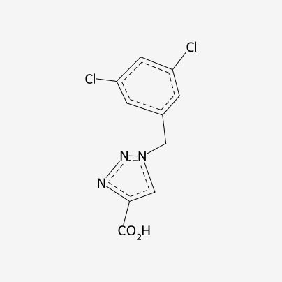 O=C(O)c1cn(Cc2cc(Cl)cc(Cl)c2)nn1